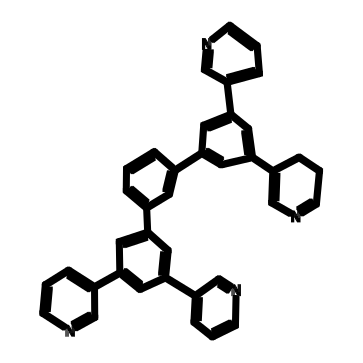 C1=NC=C(c2cc(-c3cccnc3)cc(-c3cccc(-c4cc(-c5cccnc5)cc(-c5cccnc5)c4)c3)c2)CC1